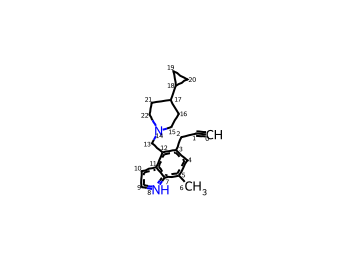 C#CCc1cc(C)c2[nH]ccc2c1CN1CCC(C2CC2)CC1